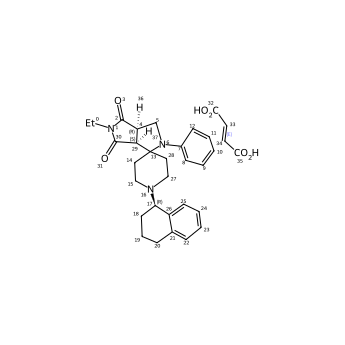 CCN1C(=O)[C@H]2CN(c3ccccc3)C3(CCN([C@@H]4CCCc5ccccc54)CC3)[C@H]2C1=O.O=C(O)/C=C/C(=O)O